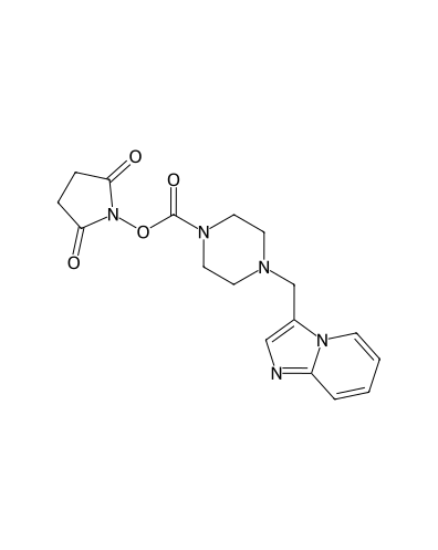 O=C(ON1C(=O)CCC1=O)N1CCN(Cc2cnc3ccccn23)CC1